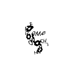 COCCN(c1ccc(CN2CCNCC2)c(C)c1)C(=O)[C@H]1CC[C@H](Oc2ccc(F)cn2)CC1